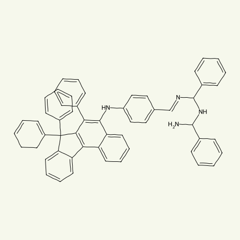 NC(NC(/N=C/c1ccc(Nc2c(-c3ccccc3)c3c(c4ccccc24)-c2ccccc2C3(C2=CC=CCC2)c2ccccc2)cc1)c1ccccc1)c1ccccc1